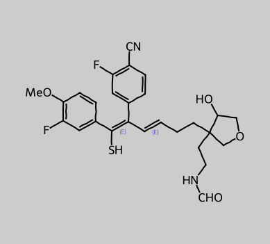 COc1ccc(/C(S)=C(/C=C/CCC2(CCNC=O)COCC2O)c2ccc(C#N)c(F)c2)cc1F